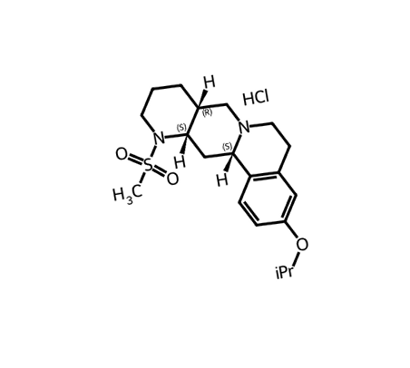 CC(C)Oc1ccc2c(c1)CCN1C[C@H]3CCCN(S(C)(=O)=O)[C@H]3C[C@@H]21.Cl